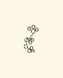 COc1cc(/C=C/C(=O)N2CCC=C(c3cccc(C(=O)O)c3)C2=O)cc(OC)c1OC